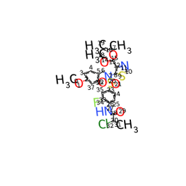 COc1ccc(CN(c2scnc2C(=O)OC(C)(C)C)S(=O)(=O)c2ccc(NC(=O)C(C)Cl)c(F)c2)cc1